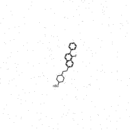 CCCCC1CCC(CCc2ccc3c(F)c(-c4ccccc4)ccc3c2)CC1